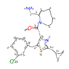 NCC1CCCCN1C(=O)c1nc(C2CC2)sc1-c1cccc(Cl)c1